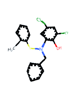 Cc1ccccc1SN(Cc1ccccc1)c1cc(Cl)cc(Cl)c1O